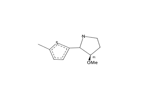 CO[C@@H]1CC[N]C1c1ccc(C)s1